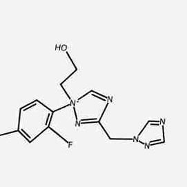 OCC[N+]1(c2ccc(F)cc2F)C=NC(Cn2cncn2)=N1